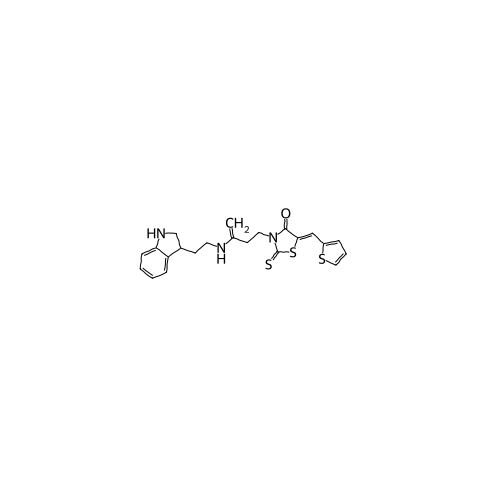 C=C(CCN1C(=O)/C(=C/c2cccs2)SC1=S)NCCC1CNc2ccccc21